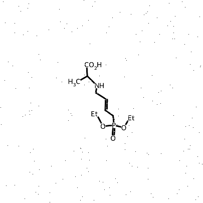 CCOP(=O)(CC=CCNC(C)C(=O)O)OCC